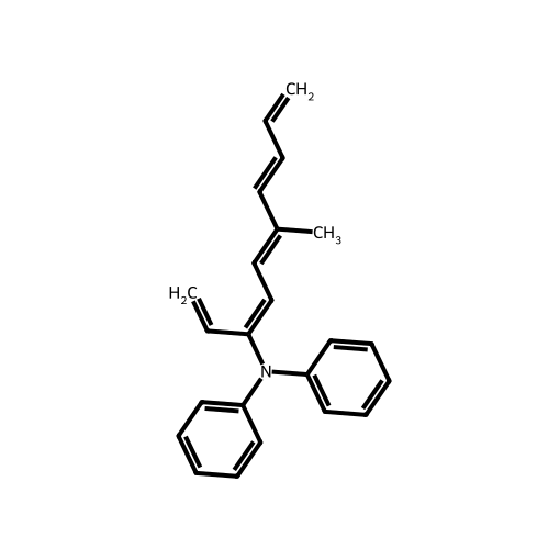 C=C/C=C/C(C)=C/C=C(\C=C)N(c1ccccc1)c1ccccc1